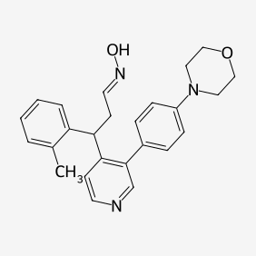 Cc1ccccc1C(CC=NO)c1ccncc1-c1ccc(N2CCOCC2)cc1